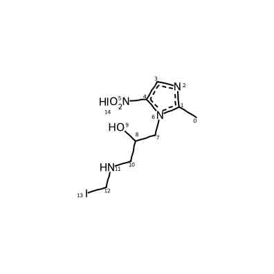 Cc1ncc([N+](=O)[O-])n1CC(O)CNCI.I